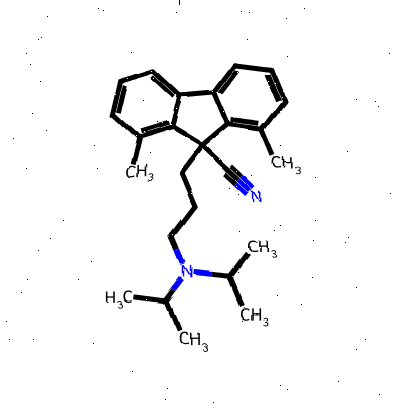 Cc1cccc2c1C(C#N)(CCCN(C(C)C)C(C)C)c1c(C)cccc1-2